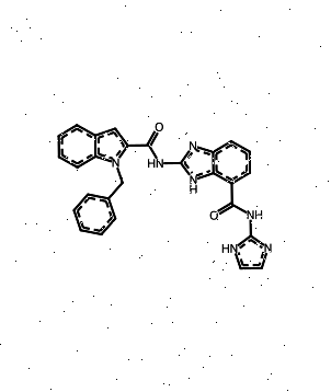 O=C(Nc1ncc[nH]1)c1cccc2nc(NC(=O)c3cc4ccccc4n3Cc3ccccc3)[nH]c12